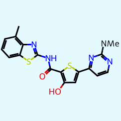 CNc1nccc(-c2cc(O)c(C(=O)Nc3nc4c(C)cccc4s3)s2)n1